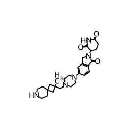 CC1(CN2CCN(c3ccc4c(c3)CN(C3CCC(=O)NC3=O)C4=O)CC2)CC2(CCNCC2)C1